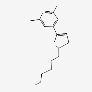 CCCCCCC1CC=C(c2cc(C)nc(C)c2)O1